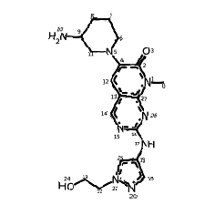 Cn1c(=O)c(N2CCCC(N)C2)cc2cnc(Nc3cnn(CCO)c3)nc21